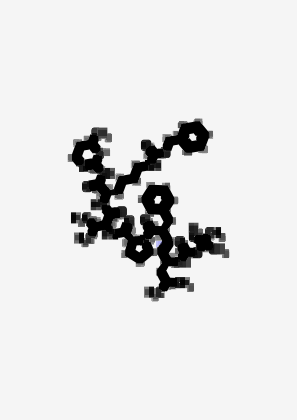 CC(C)C[C@@H](/C=C/[C@H](Cc1ccccc1)C(=O)N1CCC[C@H]1C(=O)N[C@H](C(=O)N[C@@H](CCCCNC(=O)OCc1ccccc1)C(=O)NC1=NCCC(C)S1)C(C)C)NC(=O)OC(C)(C)C